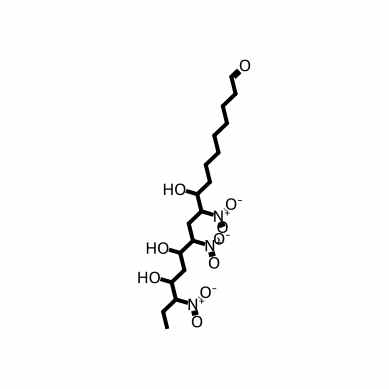 CCC(C(O)CC(O)C(CC(C(O)CCCCCCCC=O)[N+](=O)[O-])[N+](=O)[O-])[N+](=O)[O-]